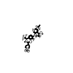 CO[C@H](c1c(Nc2ccc([C@H](N(C)C(=O)C3CCS(=O)(=O)CC3)C(F)(F)F)cc2F)cnc2sc(C)nc12)C(F)F